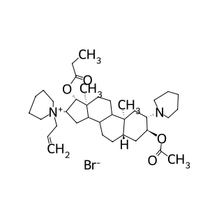 C=CC[N+]1([C@H]2CC3C4CC[C@H]5C[C@H](OC(C)=O)[C@@H](N6CCCCC6)C[C@]5(C)C4CC[C@]3(C)[C@H]2OC(=O)CC)CCCCC1.[Br-]